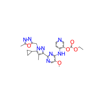 CCOC(=O)Oc1cnccc1Nc1nc(-c2nn(Cc3nnc(C)o3)c(C3CC3)c2C)ncc1OC